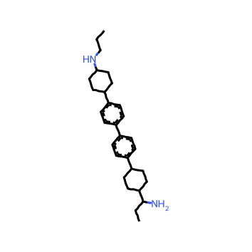 CCCNC1CCC(c2ccc(-c3ccc(C4CCC(C(N)CC)CC4)cc3)cc2)CC1